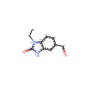 CCn1c(=O)[nH]c2cc(C=O)ccc21